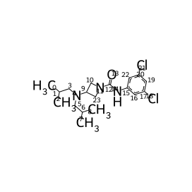 CC(C)CN(CC(C)C)C1CN(C(=O)Nc2cc(Cl)cc(Cl)c2)C1